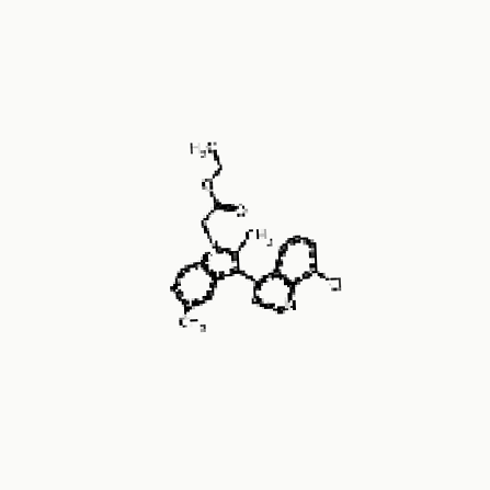 CCOC(=O)Cn1c(C)c(-c2ccnc3c(Cl)cccc23)c2cc(C)ccc21